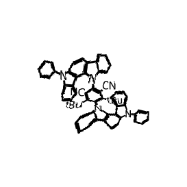 CC(C)(C)c1c(C#N)c(-n2c3ccccc3c3ccc4c(c5ccccc5n4-c4ccccc4)c32)c(C#N)c(C(C)(C)C)c1-n1c2ccccc2c2ccc3c(c4ccccc4n3-c3ccccc3)c21